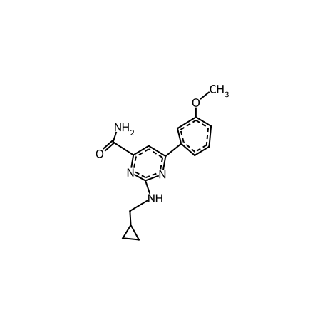 COc1cccc(-c2cc(C(N)=O)nc(NCC3CC3)n2)c1